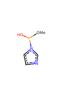 COP(O)n1ccnc1